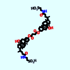 C[C@H](CCC(=O)NCCS(=O)(=O)O)[C@H]1CC[C@@H]2[C@@H]3[C@@H](CC[C@@]21C)[C@@]1(C)CC[C@H](OC(=O)CCC(=O)O[C@H]2CC[C@@]4(C)C(C2)C[C@H](O)C2[C@H]5CC[C@H]([C@H](C)CCC(=O)NCCS(=O)(=O)O)[C@@]5(C)CC[C@H]24)CC1C[C@@H]3O